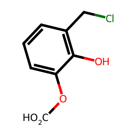 O=C(O)Oc1cccc(CCl)c1O